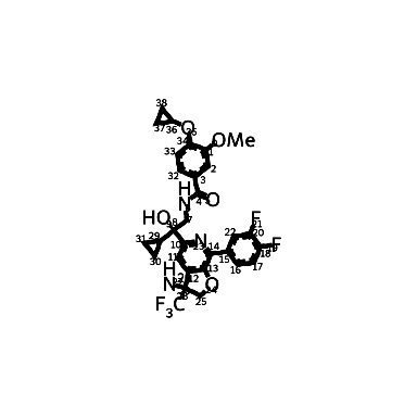 COc1cc(C(=O)NC[C@](O)(c2cc3c(c(-c4ccc(F)c(F)c4)n2)OC[C@@]3(N)C(F)(F)F)C2CC2)ccc1OC1CC1